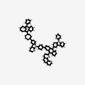 C1=CC2=C(C3=CC=C(c4ccc5c(c4)c4cccnc4n5-c4ccc(-c5ccc6c(C7=Cc8c(n(-c9ccccn9)c9ncccc89)CC7)c7ccccc7c(-c7ccc8ccc9cccnc9c8n7)c6c5)cc4)CCC3)c3ccccc3C(c3ccccc3)=C(C=C1)C2